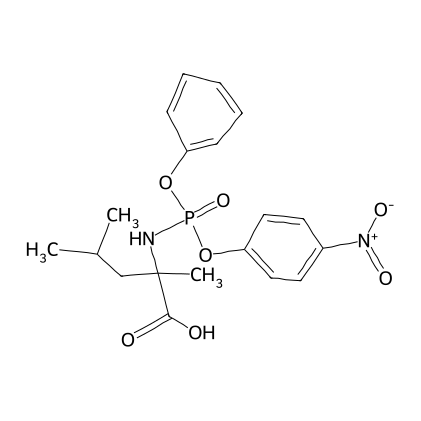 CC(C)CC(C)(NP(=O)(Oc1ccccc1)Oc1ccc([N+](=O)[O-])cc1)C(=O)O